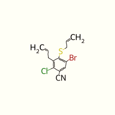 C=CCSc1c(Br)cc(C#N)c(Cl)c1CC=C